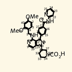 COc1ccc(CNc2nccc3c2c(-c2ccc(C(=O)Nc4ccccn4)cc2)nn3[C@@H]2CCCN(C(=O)O)C2)c(OC)c1